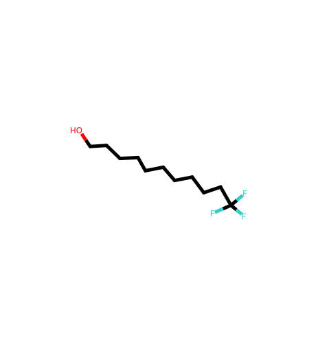 OCCCCCCCCCCC(F)(F)F